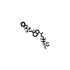 CC[Si](CC)(CC)OC(C)(C)C(F)(F)CCC(C)[C@H]1CC[C@H]2/C(=C/CS(=O)(=O)c3nc4ccccc4s3)CCC[C@]12C